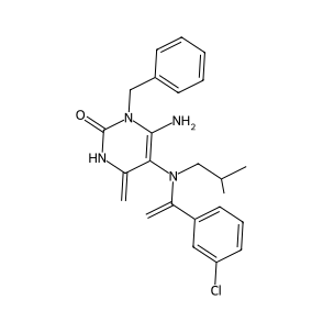 C=C1NC(=O)N(Cc2ccccc2)C(N)=C1N(CC(C)C)C(=C)c1cccc(Cl)c1